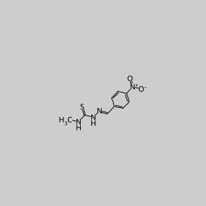 CNC(=S)N/N=C/c1ccc([N+](=O)[O-])cc1